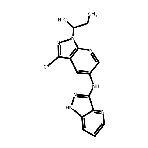 CCC(C)n1nc(Cl)c2cc(Nc3n[nH]c4cccnc34)cnc21